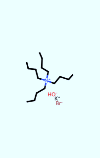 CCCC[N+](CCCC)(CCCC)CCCC.[Br-].[K+].[OH-]